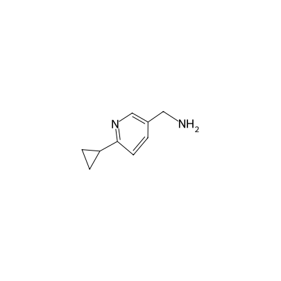 NCc1ccc(C2CC2)nc1